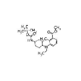 CCN(c1cccc(C(=O)OC)c1C)C1CCC(NC(=O)OC(C)(C)C)CC1